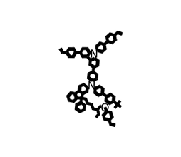 C=CC1=CCC(c2ccc(-n3c4c(c5cc(C6CC=C(N(c7ccc(-c8ccc(C(C)(C)C)cc8)cc7)C7C=C8C(=CC7)C7=C(CCC=C7)C8(CCCCC(CC)COc7ccc(C=C)cc7)C7=CC=CCC7)CC6)ccc53)=CC(c3ccc(C=C)cc3)CC=4)cc2)C=C1